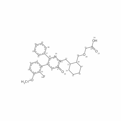 COc1cccc(-c2cc(=O)n(CC3CCCCC3COCC(=O)O)nc2-c2ccccc2)c1F